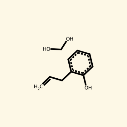 C=CCc1ccccc1O.OCO